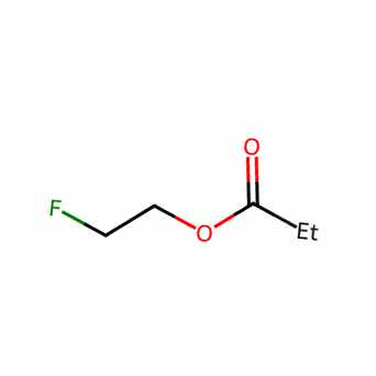 [CH2]CC(=O)OCCF